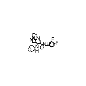 CCn1ncc2c(NC3CCOCC3)c(C(=O)NCc3ccc(F)c(F)c3)cnc21